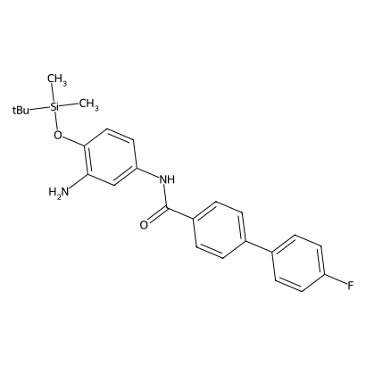 CC(C)(C)[Si](C)(C)Oc1ccc(NC(=O)c2ccc(-c3ccc(F)cc3)cc2)cc1N